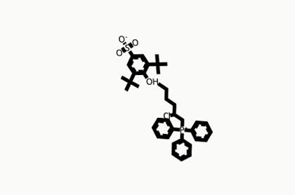 CC(C)(C)c1cc(S(=O)(=O)[O-])cc(C(C)(C)C)c1O.CCCCC(Cl)C[P+](c1ccccc1)(c1ccccc1)c1ccccc1